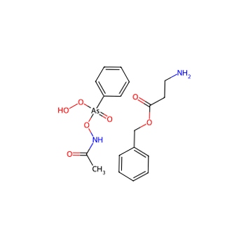 CC(=O)NO[As](=O)(OO)c1ccccc1.NCCC(=O)OCc1ccccc1